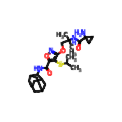 CC(C)Sc1c(OCC(C)(C)NC(=O)C2(N)CC2)noc1C(=O)NC1C2CC3CC(C2)CC1C3